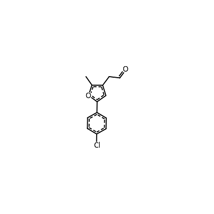 Cc1oc(-c2ccc(Cl)cc2)cc1CC=O